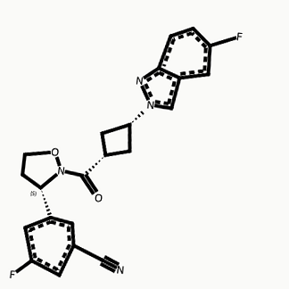 N#Cc1cc(F)cc([C@@H]2CCON2C(=O)[C@H]2C[C@@H](n3cc4cc(F)ccc4n3)C2)c1